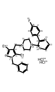 CCc1nn(Cc2ccccc2)c(CC)c1CN1CCN(c2nccnc2-c2ccc(F)cc2)CC1.Cl.Cl